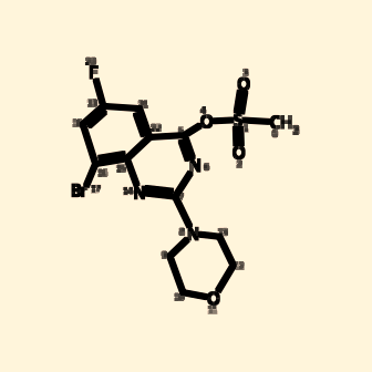 CS(=O)(=O)Oc1nc(N2CCOCC2)nc2c(Br)cc(F)cc12